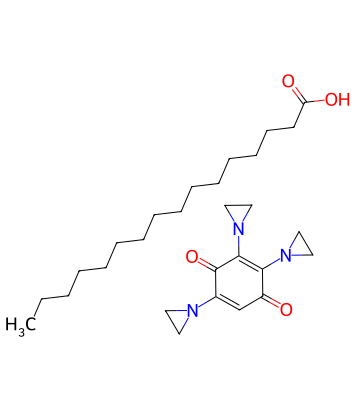 CCCCCCCCCCCCCCCC(=O)O.O=C1C=C(N2CC2)C(=O)C(N2CC2)=C1N1CC1